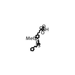 COc1cc(CCCC2OC(=O)NC2=O)ccc1OCc1csc(C=Cc2ccccc2)n1